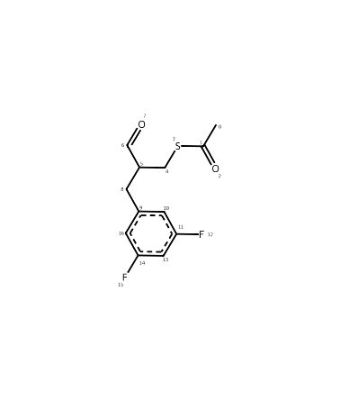 CC(=O)SCC([C]=O)Cc1cc(F)cc(F)c1